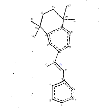 C/C(=C\c1cccnc1)c1ccc2c(c1)C(C)(C)CCC2(C)C